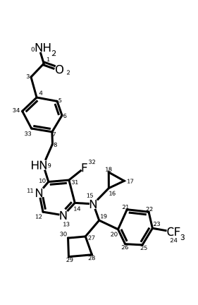 NC(=O)Cc1ccc(CNc2ncnc(N(C3CC3)C(c3ccc(C(F)(F)F)cc3)C3CCC3)c2F)cc1